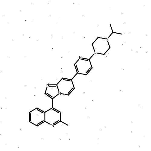 Cc1cc(-c2cnc3cc(-c4ccc(N5CCN(C(C)C)CC5)nc4)ccn23)c2ccccc2n1